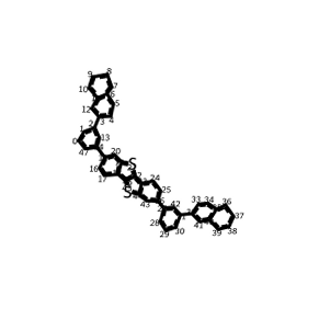 c1cc(-c2ccc3ccccc3c2)cc(-c2ccc3c(c2)sc2c4ccc(-c5cccc(-c6ccc7ccccc7c6)c5)cc4sc32)c1